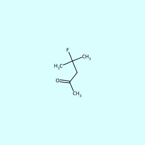 CC(=O)CC(C)(C)F